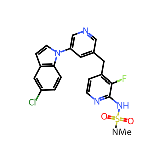 CNS(=O)(=O)Nc1nccc(Cc2cncc(-n3ccc4cc(Cl)ccc43)c2)c1F